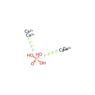 O=P(O)(O)O.[Ca+2].[Ca+2].[Ca+2].[Ca+2].[F-].[F-].[F-].[F-].[F-].[F-].[F-].[F-]